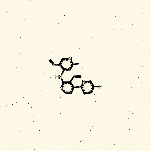 C=Cc1cnc(C)cc1Nc1nccc(-c2ccc(F)cn2)c1C=C